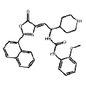 COc1ccccc1NC(=O)NC(C=C1N=C(c2cccc3ccccc23)OC1=O)C1CCNCC1